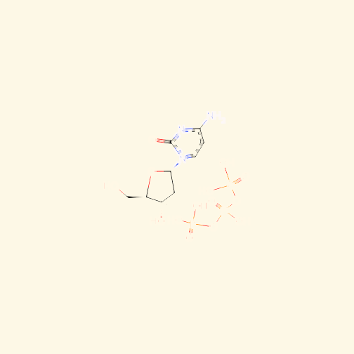 Nc1ccn([C@H]2C[C@H](O)[C@@H](CO)O2)c(=O)n1.O=P(O)(O)OP(=O)(O)OP(=O)(O)O